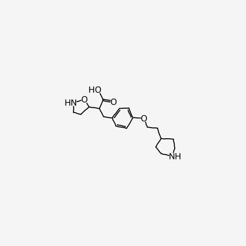 O=C(O)C(Cc1ccc(OCCC2CCNCC2)cc1)C1CCNO1